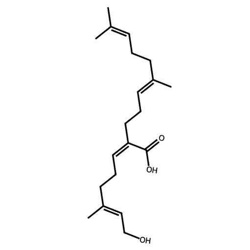 CC(C)=CCCC(C)=CCCC(=CCCC(C)=CCO)C(=O)O